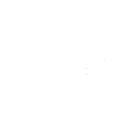 FC(F)(F)Oc1ccc(SN[C@H]2CCC[C@@H](n3c4ccccc4c4ccncc43)C2)cc1